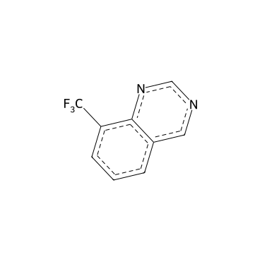 FC(F)(F)c1cccc2cncnc12